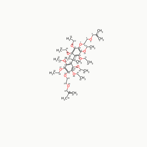 C=C(C)COCCOc1c(OCC)c(OCC)c(C(C)(C)c2c(OCC)c(OCC)c(OCCOCC(=C)C)c(OCC)c2OCC)c(OCC)c1OCC